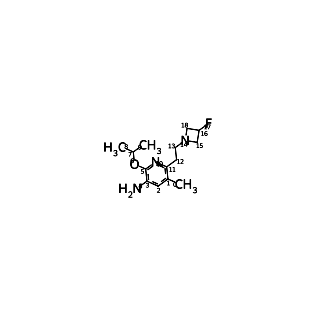 Cc1cc(N)c(OC(C)C)nc1CCN1CC(F)C1